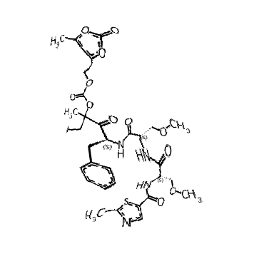 COC[C@H](NC(=O)c1cnc(C)s1)C(=O)N[C@@H](COC)C(=O)N[C@@H](Cc1ccccc1)C(=O)C(C)(CI)OC(=O)OCc1oc(=O)oc1C